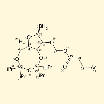 B[C@@H]1O[C@@H]2CO[Si](C(C)C)(C(C)C)O[Si](C(C)C)(C(C)C)OC2[C@@H]1OCOC(=O)CCC(C)=O